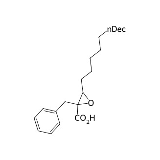 CCCCCCCCCCCCCCCC1OC1(Cc1ccccc1)C(=O)O